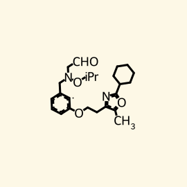 Cc1oc(C2CCCCC2)nc1CCOc1[c]c(CN(CC=O)OC(C)C)ccc1